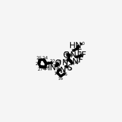 CNCCn1c(C(F)(F)F)nc2sc(N3CCC[C@@H]3C(=O)NCc3ccccc3)nc2c1=O